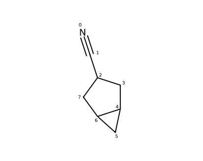 N#CC1CC2CC2C1